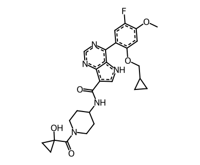 COc1cc(OCC2CC2)c(-c2ncnc3c(C(=O)NC4CCN(C(=O)C5(O)CC5)CC4)c[nH]c23)cc1F